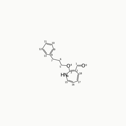 O=CC1=C(OCCCc2ccccc2)NC=CC=C1